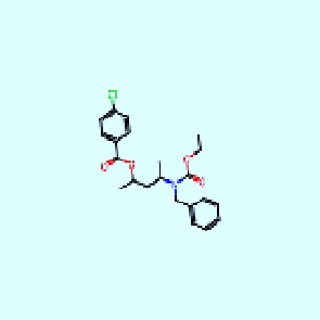 CCOC(=O)N(Cc1ccccc1)C(C)CC(C)OC(=O)c1ccc(Cl)cc1